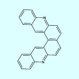 c1ccc2nc3ccc4ccc5nc6ccccc6cc5c4c3cc2c1